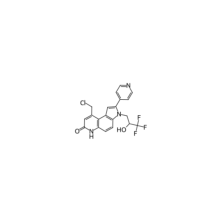 O=c1cc(CCl)c2c(ccc3c2cc(-c2ccncc2)n3CC(O)C(F)(F)F)[nH]1